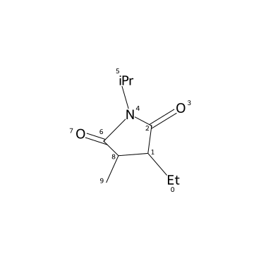 CCC1C(=O)N(C(C)C)C(=O)C1C